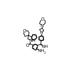 N=C(c1ccc(N2CC(N3CCOCC3)C2)cc1)c1cc(C(=O)NCC2(c3ccccc3)CCOCC2)ccc1N